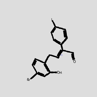 O=C/C(=C/Cc1ccc(Br)cc1O)c1ccc(I)cc1